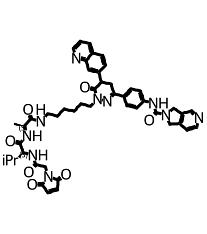 CC(C)[C@H](NC(=O)CN1C(=O)C=CC1=O)C(=O)N[C@@H](C)C(=O)NCCCCCCN1N=C(c2ccc(NC(=O)N3Cc4ccncc4C3)cc2)CC(c2ccc3cccnc3c2)C1=O